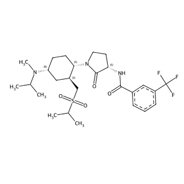 CC(C)N(C)[C@@H]1CC[C@H](N2CC[C@H](NC(=O)c3cccc(C(F)(F)F)c3)C2=O)[C@@H](CS(=O)(=O)C(C)C)C1